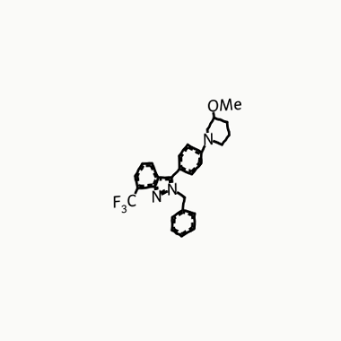 COC1CCCN(c2ccc(-c3c4cccc(C(F)(F)F)c4nn3Cc3ccccc3)cc2)C1